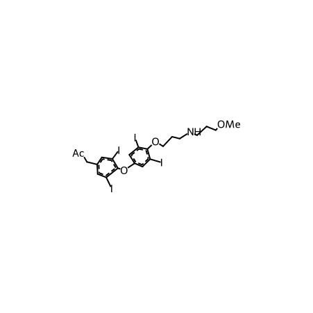 COCCCNCCCOc1c(I)cc(Oc2c(I)cc(CC(C)=O)cc2I)cc1I